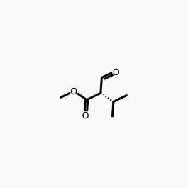 COC(=O)[C@H](C=O)C(C)C